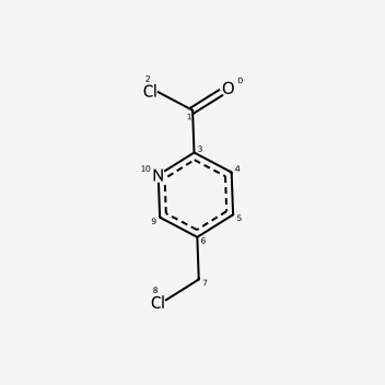 O=C(Cl)c1ccc(CCl)cn1